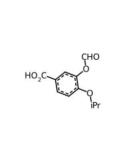 CC(C)Oc1ccc(C(=O)O)cc1OC=O